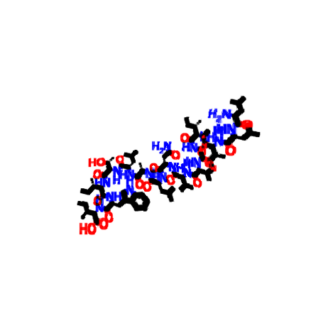 CC[C@H](C)[C@H](NC(=O)[C@H](Cc1c[nH]c2ccccc12)NC(=O)[C@@H](NC(=O)[C@@H](NC(=O)[C@H](CC(C)C)NC(=O)[C@H](C)NC(=O)[C@H](CC(C)C)NC(=O)[C@H](CC(N)=O)NC(=O)[C@@H](NC(=O)[C@@H](NC(=O)[C@H](CC(C)C)NC(=O)[C@@H](NC(=O)[C@@H](NC(=O)[C@H](CC(C)C)NC(=O)[C@@H](N)CC(C)C)[C@@H](C)CC)[C@@H](C)CC)C(C)C)C(C)C)[C@@H](C)O)[C@@H](C)CC)C(=O)O